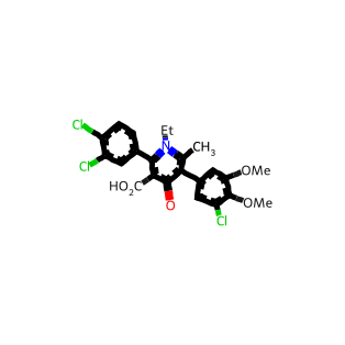 CCn1c(C)c(-c2cc(Cl)c(OC)c(OC)c2)c(=O)c(C(=O)O)c1-c1ccc(Cl)c(Cl)c1